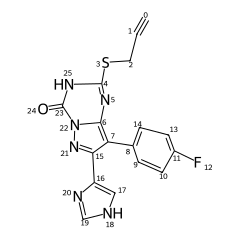 C#CCSc1nc2c(-c3ccc(F)cc3)c(-c3c[nH]cn3)nn2c(=O)[nH]1